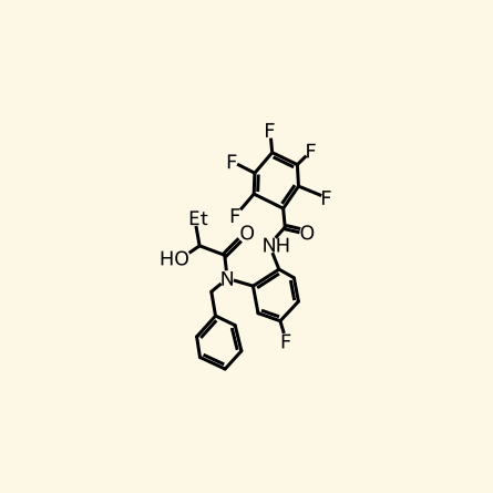 CCC(O)C(=O)N(Cc1ccccc1)c1cc(F)ccc1NC(=O)c1c(F)c(F)c(F)c(F)c1F